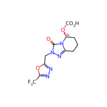 O=C(O)O[C@H]1CCCc2nn(Cc3nnc(C(F)(F)F)o3)c(=O)n21